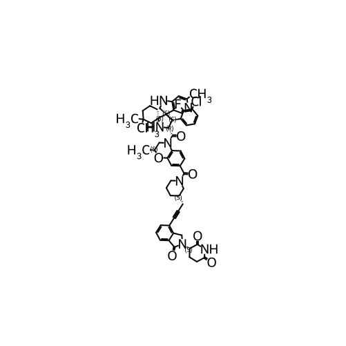 Cc1cc2c(cn1)[C@]1(CN2)[C@@H](c2cccc(Cl)c2F)[C@H](C(=O)N2C[C@H](C)Oc3cc(C(=O)N4CCC[C@@H](CC#Cc5cccc6c5CN([C@H]5CCC(=O)NC5=O)C6=O)C4)ccc32)N[C@]12CCCC(C)(C)C2